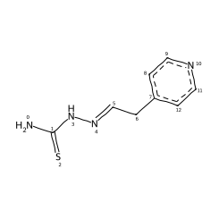 NC(=S)NN=CCc1ccncc1